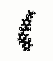 O=C(Nc1ccc(OC(F)(F)F)cc1)C1=CCC(F)(c2ncccc2Cl)CC1